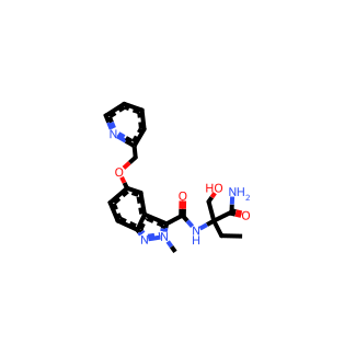 CCC(CO)(NC(=O)c1c2cc(OCc3ccccn3)ccc2nn1C)C(N)=O